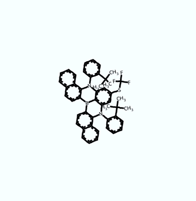 CC(C)(C)c1ccccc1N1c2cc(SC(F)(F)F)cc3c2B(c2ccc4ccccc4c21)c1ccc2ccccc2c1N3c1ccccc1C(C)(C)C